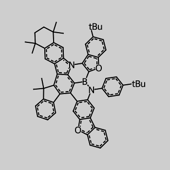 CC(C)(C)c1ccc(N2B3c4oc5ccc(C(C)(C)C)cc5c4-n4c5cc6c(cc5c5c7c(c(c3c54)-c3cc4oc5ccccc5c4cc32)-c2ccccc2C7(C)C)C(C)(C)CCC6(C)C)cc1